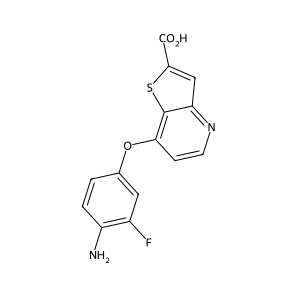 Nc1ccc(Oc2ccnc3cc(C(=O)O)sc23)cc1F